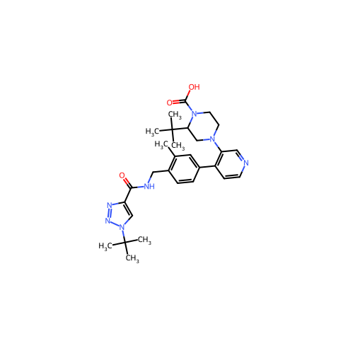 Cc1cc(-c2ccncc2N2CCN(C(=O)O)C(C(C)(C)C)C2)ccc1CNC(=O)c1cn(C(C)(C)C)nn1